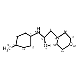 CC1CCC(N[C@H](O)CN2CCOCC2)CC1